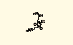 CCCNCCCn1c(CC)cc(=O)n(CCCNCCC)c1=O